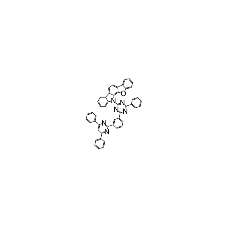 c1ccc(-c2cc(-c3ccccc3)nc(-c3cccc(-c4nc(-c5ccccc5)nc(-n5c6ccccc6c6ccc7c8ccccc8oc7c65)n4)c3)n2)cc1